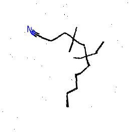 CCCCCC(C)(CC)CC(C)(C)CCC#N